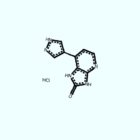 Cl.O=c1[nH]c2nccc(-c3cn[nH]c3)c2[nH]1